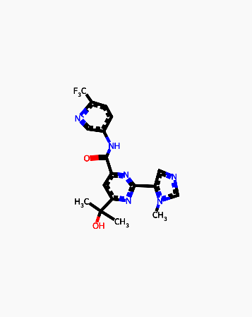 Cn1cncc1-c1nc(C(=O)Nc2ccc(C(F)(F)F)nc2)cc(C(C)(C)O)n1